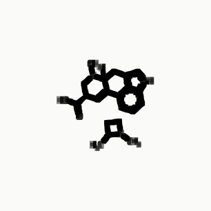 CC1CCN1C.CN1C[C@H](C(=O)O)C=C2c3cccc4[nH]cc(c34)C[C@H]21